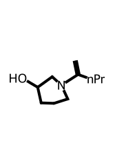 C=C(CCC)N1CCCC(O)C1